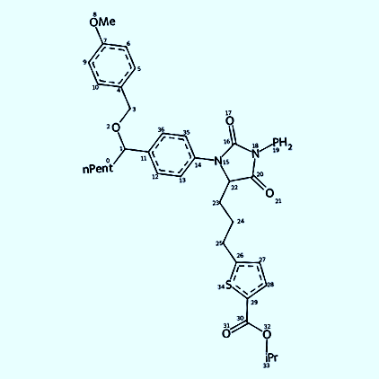 CCCCCC(OCc1ccc(OC)cc1)c1ccc(N2C(=O)N(P)C(=O)C2CCCc2ccc(C(=O)OC(C)C)s2)cc1